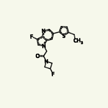 CCc1ccc(-c2cnc3c(F)cn(CC(=O)N4CC(F)C4)c3c2)s1